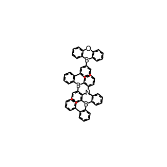 c1ccc(-c2ccccc2B2c3ccccc3N3c4ccccc4B(c4ccccc4-c4cccc(B5c6ccccc6Oc6ccccc65)c4)c4cccc2c43)cc1